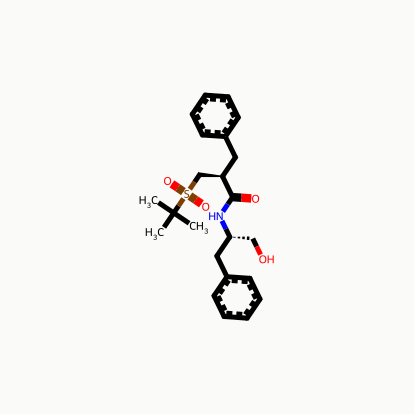 CC(C)(C)S(=O)(=O)C[C@@H](Cc1ccccc1)C(=O)N[C@H](CO)Cc1ccccc1